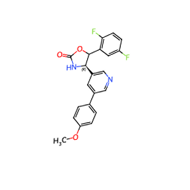 COc1ccc(-c2cncc([C@H]3NC(=O)OC3c3cc(F)ccc3F)c2)cc1